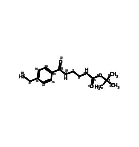 CC(C)(C)OC(=O)NCCNC(=O)c1ccc(CS)cc1